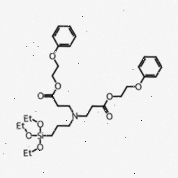 CCO[Si](CCCN(CCC(=O)OCCOc1ccccc1)CCC(=O)OCCOc1ccccc1)(OCC)OCC